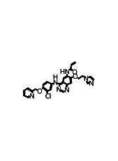 C=CC(=O)Nc1cc2c(Nc3ccc(OCc4ccccn4)c(Cl)c3)ncnc2cc1OCCn1ccnc1